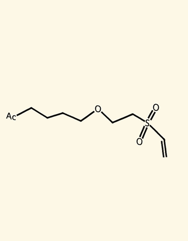 C=CS(=O)(=O)CCOCCCCC(C)=O